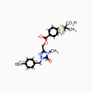 Cn1c(COC(=O)c2ccc(SC(C)(C)C(=O)O)cc2)nn(Cc2ccc(C(C)(C)C)cc2)c1=O